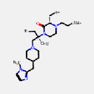 COCCN1CCN([C@](C=O)(CC(C)C)CN2CCC(Cc3nccn3C)CC2)C(=O)[C@@H]1CC(C)C